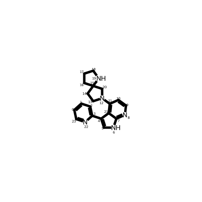 c1ccc(-c2c[nH]c3nccc(N4CCC5(CCCN5)C4)c23)nc1